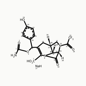 NC(=O)OC(C1=C(C(=O)O)N2C(=O)[C@@H]3[C@H]2[C@H](C1)CN3C(=O)C(F)(F)F)c1ccc(O)cc1.[NaH]